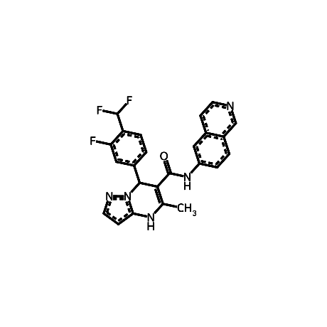 CC1=C(C(=O)Nc2ccc3cnccc3c2)C(c2ccc(C(F)F)c(F)c2)n2nccc2N1